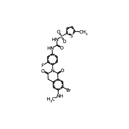 CNc1cc2c(cc1Br)C(=O)N(c1ccc(NC(=O)NS(=O)(=O)c3ccc(C)s3)cc1F)C(=O)C2